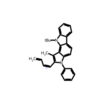 C=C/C=C\c1c(C)c2c(ccc3c4ccccc4n(C(C)(C)C)c32)n1-c1ccccc1